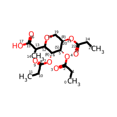 CCC(=O)O[C@@H]1[C@H](OC(=O)CC)C(C(C)C(=O)O)OC[C@H]1OC(=O)CC